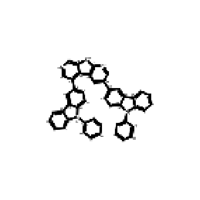 c1ccc(-n2c3ccccc3c3cc(-c4cnc5sc6cncc(-c7ccc8c(c7)c7ccccc7n8-c7ccccc7)c6c5c4)ccc32)cc1